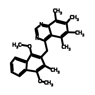 COc1c(C)c(Cc2ncnc3c(C)c(C)c(C)c(C)c23)c(OC)c2ccccc12